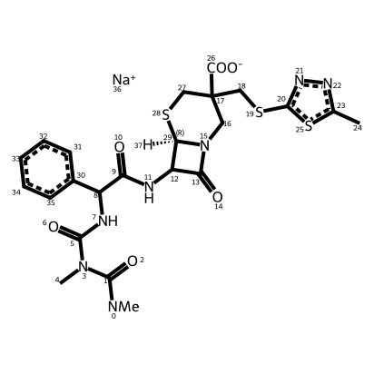 CNC(=O)N(C)C(=O)NC(C(=O)NC1C(=O)N2CC(CSc3nnc(C)s3)(C(=O)[O-])CS[C@H]12)c1ccccc1.[Na+]